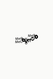 COc1cc2nc(CCN3CCN(c4ccccc4OC)CC3)[nH]c(=O)c2cc1OC